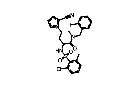 Cc1cccc(Cl)c1S(=O)(=O)NC(CCn1cccc1C#N)C(=O)N(C)Cc1ccccc1F